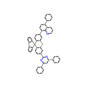 c1ccc(-c2cc(-c3ccccc3)nc(-c3ccc4c(c3)Sc3cc(-c5ccc(-c6ccccc6)c6cccnc56)ccc3C43c4ccccc4-c4ccccc43)n2)cc1